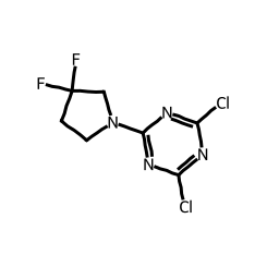 FC1(F)CCN(c2nc(Cl)nc(Cl)n2)C1